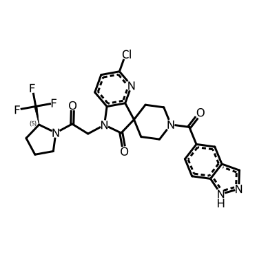 O=C(c1ccc2[nH]ncc2c1)N1CCC2(CC1)C(=O)N(CC(=O)N1CCC[C@H]1C(F)(F)F)c1ccc(Cl)nc12